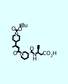 C#CC(CC(=O)O)NC(=O)[C@@H]1CCCN(C(=O)/C=C(\C)C2CCN(C(=O)OC(C)(C)C)CC2)C1